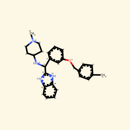 Cc1ccc(COc2cccc(C(NC3CCN(C)CC3)c3nc4ccccc4[nH]3)c2)cc1